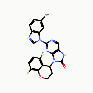 [C-]#[N+]c1ccc2ncn(-c3ncc4[nH]c(=O)n(C5CCOc6c(F)ccc(Cl)c65)c4n3)c2c1